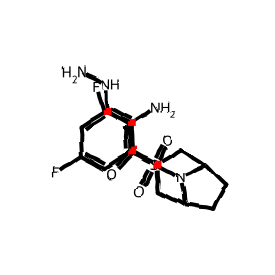 NN/C=C(\N)C(=O)N1CC2CCC(C1)N2S(=O)(=O)c1cc(F)cc(F)c1